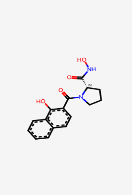 O=C(NO)[C@@H]1CCCN1C(=O)c1ccc2ccccc2c1O